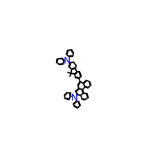 CC1(C)C2=C(CCC(N(c3ccccc3)c3ccccc3)=C2)c2ccc(-c3cc4c(c5ccccc35)=C3C=CC=CC3C(N(c3ccccc3)c3ccccc3)C=4)cc21